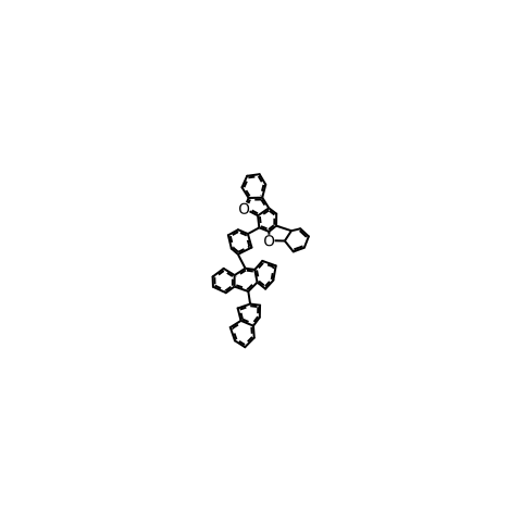 C1=CC2Oc3c(cc4c(oc5ccccc54)c3-c3cccc(-c4c5ccccc5c(-c5ccc6ccccc6c5)c5ccccc45)c3)C2C=C1